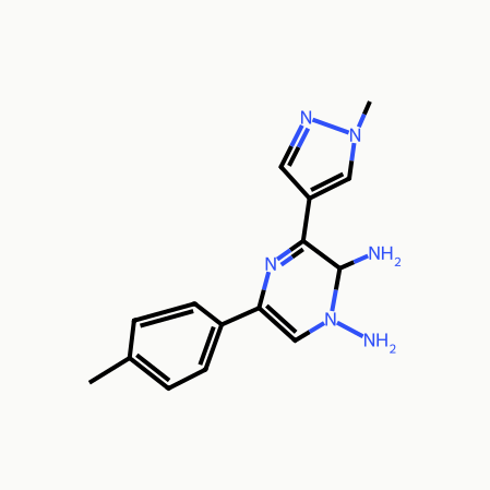 Cc1ccc(C2=CN(N)C(N)C(c3cnn(C)c3)=N2)cc1